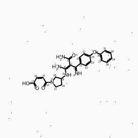 N=C(/C(C(N)=O)=C(/N)NC1CCN(C(=O)/C=C\C(=O)O)C1)c1ccc(Oc2ccccc2)cc1